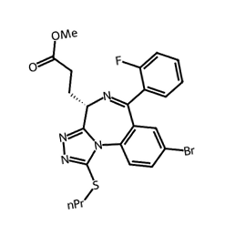 CCCSc1nnc2n1-c1ccc(Br)cc1C(c1ccccc1F)=N[C@H]2CCC(=O)OC